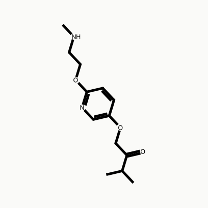 CNCCOc1ccc(OCC(=O)C(C)C)cn1